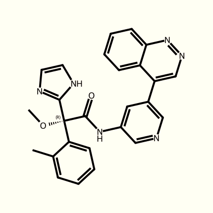 CO[C@@](C(=O)Nc1cncc(-c2cnnc3ccccc23)c1)(c1ncc[nH]1)c1ccccc1C